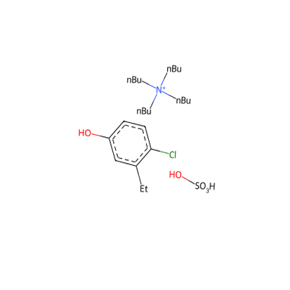 CCCC[N+](CCCC)(CCCC)CCCC.CCc1cc(O)ccc1Cl.O=S(=O)(O)O